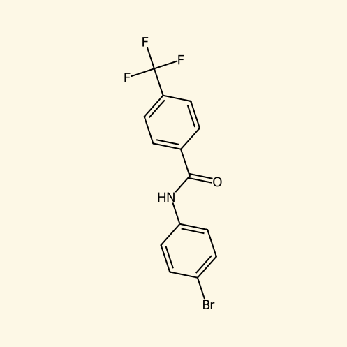 O=C(Nc1ccc(Br)cc1)c1ccc(C(F)(F)F)cc1